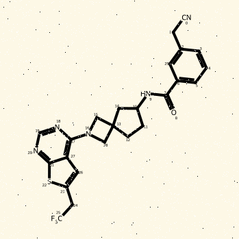 N#CCc1cccc(C(=O)NC2CCC3(C2)CN(c2ncnc4sc(CC(F)(F)F)cc24)C3)c1